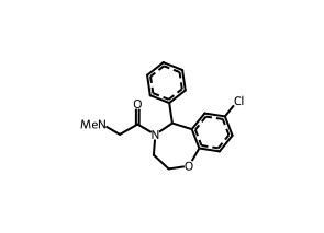 CNCC(=O)N1CCOc2ccc(Cl)cc2C1c1ccccc1